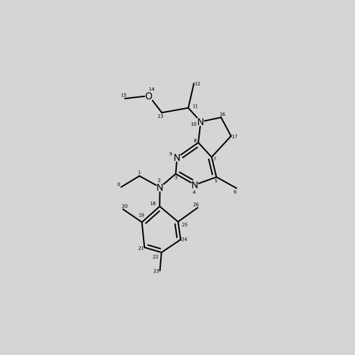 CCN(c1nc(C)c2c(n1)N(C(C)COC)CC2)c1c(C)cc(C)cc1C